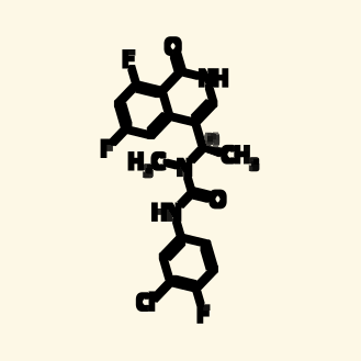 C[C@H](c1c[nH]c(=O)c2c(F)cc(F)cc12)N(C)C(=O)Nc1ccc(F)c(Cl)c1